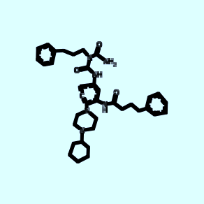 NC(=O)N(CCCc1ccccc1)C(=O)Nc1ccc(N2CCN(C3CCCCC3)CC2)c(NC(=O)CCCc2ccccc2)c1